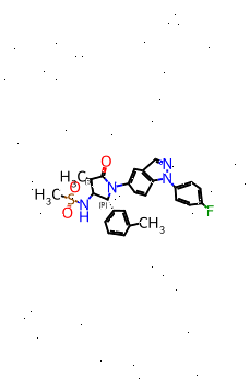 Cc1cccc([C@@H]2C(NS(C)(=O)=O)[C@H](C)C(=O)N2c2ccc3c(cnn3-c3ccc(F)cc3)c2)c1